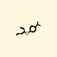 C=C/C=C(\C=C)Oc1ccc(C(C)C)cc1